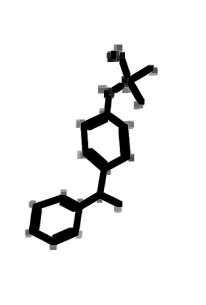 CC(c1ccccc1)c1ccc(O[Si](C)(C)C(C)(C)C)cc1